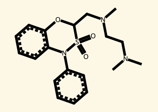 CN(C)CCN(C)CC1Oc2ccccc2N(c2ccccc2)S1(=O)=O